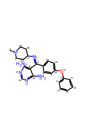 CN1CCC(/N=C(/c2ccc(Oc3ccccc3)cc2)c2c(N)ncnc2N)CC1